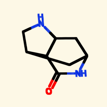 O=C1NC2CC3CNC(C2)C13